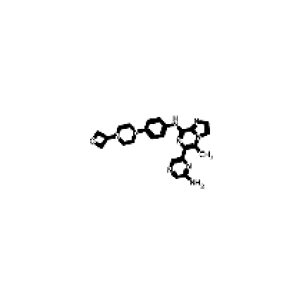 Cc1c(-c2cncc(N)n2)nc(Nc2ccc(N3C=CN(C4COC4)CC3)cc2)c2nccn12